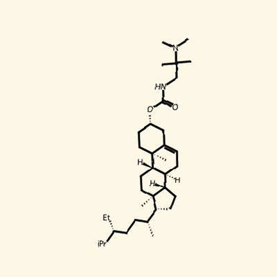 CC[C@H](CC[C@@H](C)[C@H]1CC[C@H]2[C@@H]3CC=C4C[C@@H](OC(=O)NCC(C)(C)N(C)C)CC[C@]4(C)[C@H]3CC[C@]12C)C(C)C